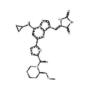 COCC1CCCCN1C(=O)c1ccc(-c2cc(NC3CC3)n3ncc(/C=C4\NC(=O)NC4=O)c3n2)s1